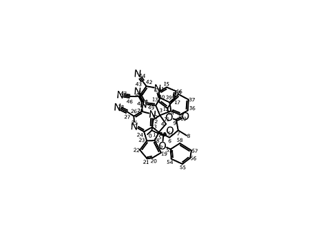 CC(CC1(CC2(CC(C)C(=O)Oc3ccccc3)c3ccccc3-c3nc(C#N)c(C#N)nc32)c2ccccc2-c2nc(C#N)c(C#N)nc21)C(=O)Oc1ccccc1